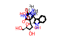 [2H]N([2H])[C@]([2H])(C(=O)O)C([2H])([2H])c1c([C@@]2(c3c[nH]c(=O)[nH]c3=O)O[C@H](CO)[C@@H](O)[C@H]2O)[nH]c2ccccc12